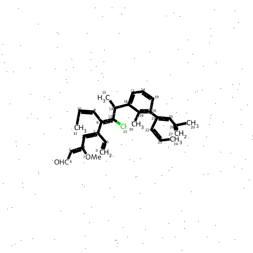 C=CC(=C\C(=C\C=O)OC)/C(/C=C\C)=C(\Cl)C(C)c1cccc(C(/C=C\C)=C/C(=C)C)c1C